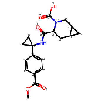 COC(=O)c1ccc(C2(NC(=O)C3CC4CC4CN3C(=O)O)CC2)cc1